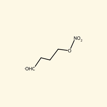 O=[C]CCCO[N+](=O)[O-]